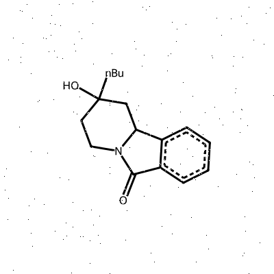 CCCCC1(O)CCN2C(=O)c3ccccc3C2C1